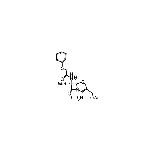 CO[C@]1(NC(=O)CSc2ccccc2)C(=O)N2C(C(=O)O)=C(COC(C)=O)CS[C@@H]21